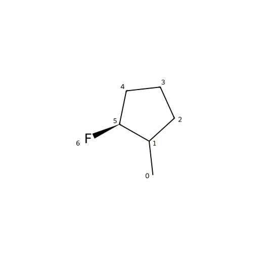 CC1CCC[C@@H]1F